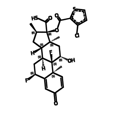 C[C@@H]1C[C@H]2[C@@H]3C[C@H](F)C4=CC(=O)C=C[C@]4(C)[C@@]3(F)[C@@H](O)C[C@]2(C)[C@@]1(OC(=O)c1sccc1Cl)C(=O)S